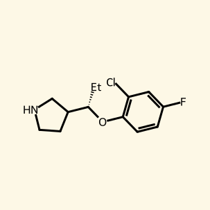 CC[C@H](Oc1ccc(F)cc1Cl)C1CCNC1